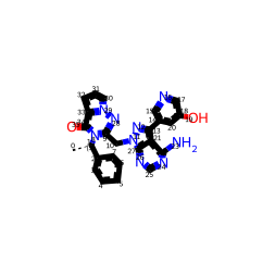 C[C@@H](c1ccccc1)n1c(Cn2nc(-c3cncc(O)c3)c3c(N)ncnc32)nn2cccc2c1=O